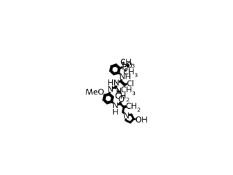 C=N/C(=N\C(Nc1ccccc1P(C)(C)=O)=C(/C)Cl)Nc1cc(NC(=O)C(=C)CN2CCC(O)C2)ccc1OC